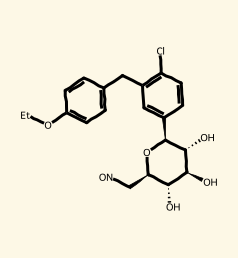 CCOc1ccc(Cc2cc([C@@H]3O[C@H](CN=O)[C@@H](O)[C@H](O)[C@H]3O)ccc2Cl)cc1